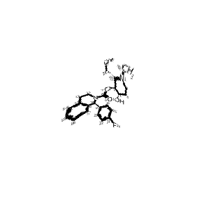 CN1CC[C@H](O)[C@@H](OC(=O)N2CCc3ccccc3[C@@H]2c2ccc(F)cc2)[C@@H]1CO